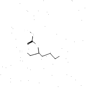 [CH2]CCCC(CC)OC(=O)NC